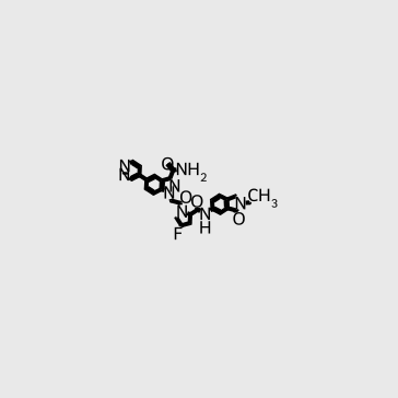 CCN1Cc2ccc(NC(=O)C3CC(F)CN3C(=O)Cn3nc(C(N)=O)c4cc(-c5ccnnc5)ccc43)cc2C1=O